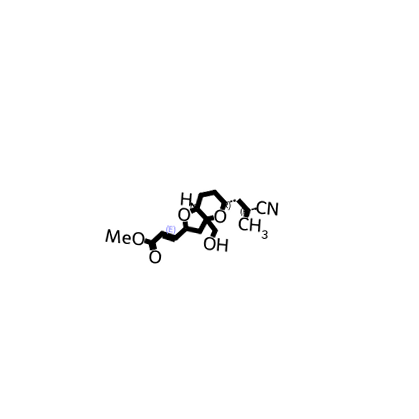 COC(=O)/C=C/C1CC2(CO)O[C@@H](C[C@@H](C)C#N)CC[C@@H]2O1